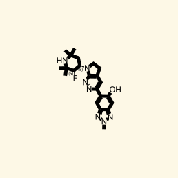 Cn1nc2cc(O)c(-c3cc4c(nn3)N([C@H]3CC(C)(C)NC(C)(C)[C@H]3F)CC4)cc2n1